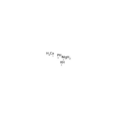 P.[CaH2].[KH].[MgH2]